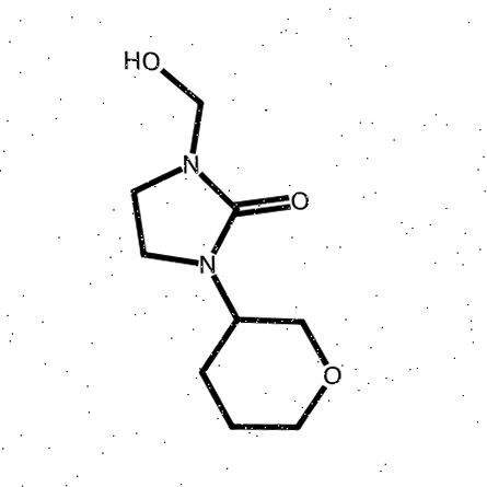 O=C1N(CO)CCN1C1CCCOC1